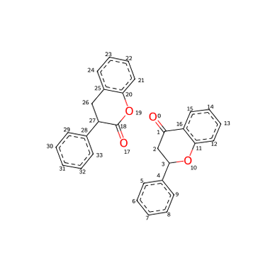 O=C1CC(c2ccccc2)Oc2ccccc21.O=C1Oc2ccccc2CC1c1ccccc1